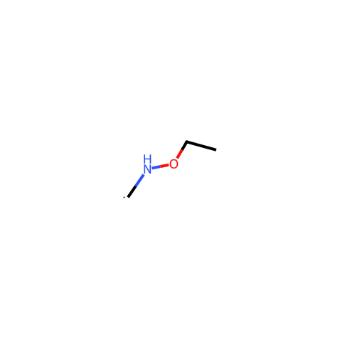 [CH2]NOCC